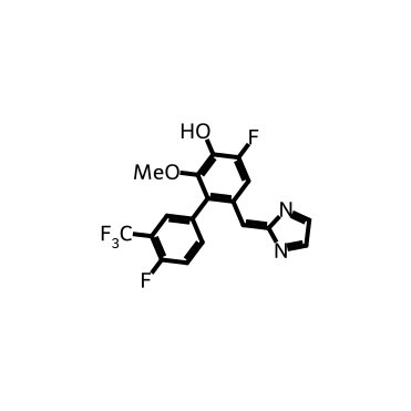 COc1c(O)c(F)cc(C=C2N=CC=N2)c1-c1ccc(F)c(C(F)(F)F)c1